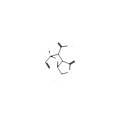 CC(=O)C1C2C(=O)N[C@H](C)[C@]23C=C[C@H]1O3